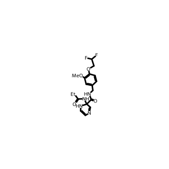 CCC(=O)NC1(C(=O)NCc2ccc(OCC(F)F)c(OC)c2)C=NC=CN1